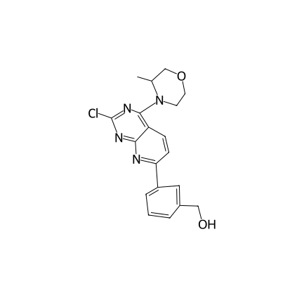 CC1COCCN1c1nc(Cl)nc2nc(-c3cccc(CO)c3)ccc12